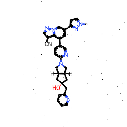 Cn1ccc(-c2cc(-c3ccc(N4C[C@@H]5C[C@@](O)(Cc6ccccn6)C[C@@H]5C4)nc3)c3c(C#N)cnn3c2)n1